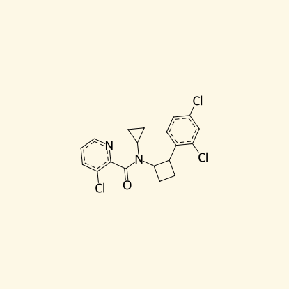 O=C(c1ncccc1Cl)N(C1CC1)C1CCC1c1ccc(Cl)cc1Cl